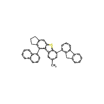 Cc1cc(-c2cccc3c2Cc2ccccc2-3)c2sc3cc4c(c(-c5cccc6ccccc56)c3c2c1)CCC4